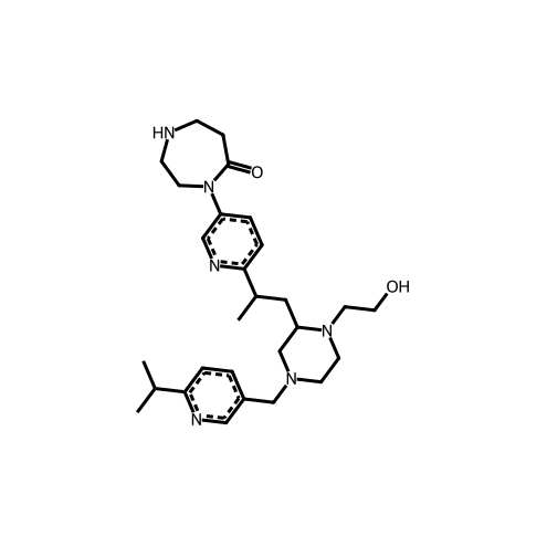 CC(C)c1ccc(CN2CCN(CCO)C(CC(C)c3ccc(N4CCNCCC4=O)cn3)C2)cn1